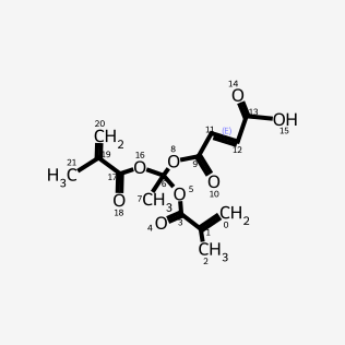 C=C(C)C(=O)OC(C)(OC(=O)/C=C/C(=O)O)OC(=O)C(=C)C